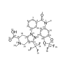 CN(C(=O)c1cccc(-n2nc(C(F)(F)F)c3c2CC(C(=O)O)N(C)C3)c1)c1ccc2c(c1)OC(F)(F)O2